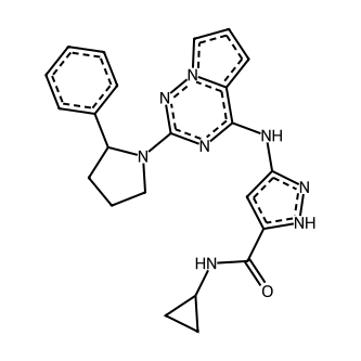 O=C(NC1CC1)c1cc(Nc2nc(N3CCCC3c3ccccc3)nn3cccc23)n[nH]1